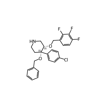 Fc1ccc(CO[C@H]2CNCC[C@]2(OCc2ccccc2)c2ccc(Cl)cc2)c(F)c1F